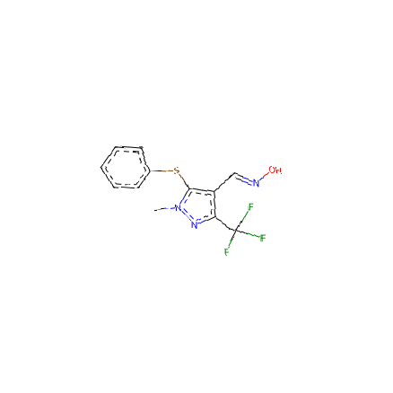 Cn1nc(C(F)(F)F)c(/C=N/O)c1Sc1ccccc1